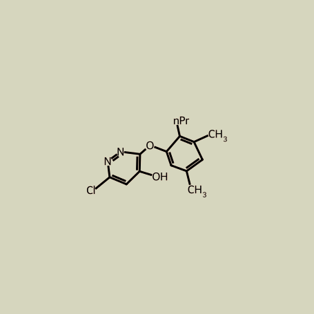 CCCc1c(C)cc(C)cc1Oc1nnc(Cl)cc1O